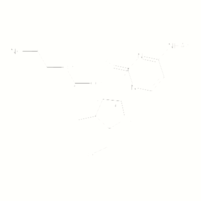 CC(=O)Nc1ccn([C@@H]2O[C@H](CO)C(C)[C@@H]2OCOCCC#N)c(=O)n1